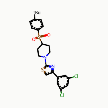 CC(C)(C)c1ccc(S(=O)(=O)C2CCN(c3nc(-c4cc(Cl)cc(Cl)c4)cs3)CC2)cc1